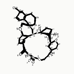 O=C1NS(=O)(=O)CCC[C@]2(O)CCO[C@@H](C2)[C@@H]2CC[C@H]2CN2C[C@@]3(CCCc4cc(Cl)ccc43)COc3ccc1cc32